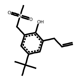 C=CCc1cc(C(C)(C)C)cc(CS(C)(=O)=O)c1O